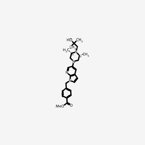 COC(=O)c1ccc(Cn2ccc3cc(N4C[C@@H](C)N(CC(C)(C)O)[C@@H](C)C4)cnc32)cc1